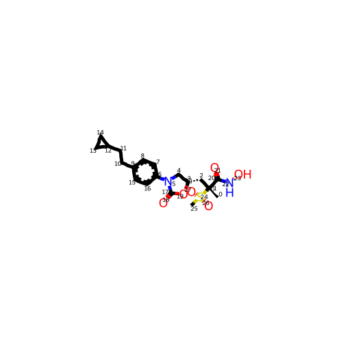 C[C@@](C[C@H]1CN(c2ccc(CCC3CC3)cc2)C(=O)O1)(C(=O)NO)S(C)(=O)=O